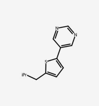 CC(C)Cc1ccc(-c2cncnc2)s1